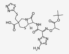 CC(ON=C(C(=O)NC1C(=O)N2CC(CSc3nncs3)(C(=O)O)CS[C@H]12)c1nsc(N)n1)C(=O)OC(C)(C)C